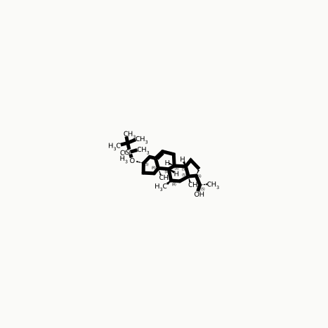 C[C@H](O)[C@H]1CC[C@H]2[C@@H]3CC=C4C[C@@H](O[Si](C)(C)C(C)(C)C)CC[C@]4(C)[C@H]3[C@H](C)C[C@]12C